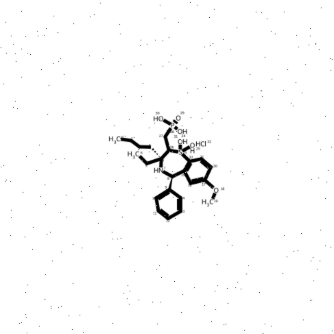 CCCC[C@@]1(CC)N[C@H](c2ccccc2)c2cc(OC)ccc2S(O)(O)C1CP(=O)(O)O.Cl